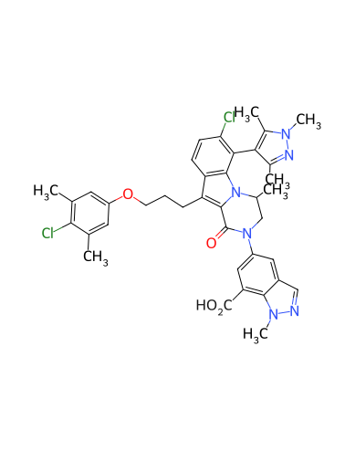 Cc1cc(OCCCc2c3n(c4c(-c5c(C)nn(C)c5C)c(Cl)ccc24)C(C)CN(c2cc(C(=O)O)c4c(cnn4C)c2)C3=O)cc(C)c1Cl